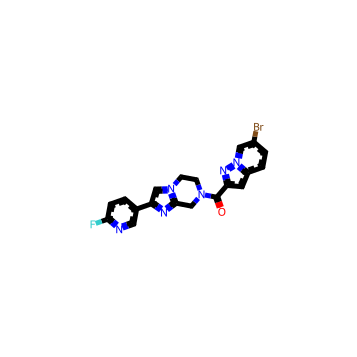 O=C(c1cc2ccc(Br)cn2n1)N1CCn2cc(-c3ccc(F)nc3)nc2C1